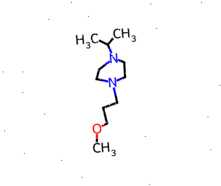 COCCCN1CCN(C(C)C)CC1